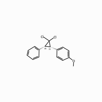 COc1ccc([C@@H]2[C@H](c3ccccc3)C2(Cl)Cl)cc1